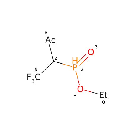 CCO[PH](=O)C(C(C)=O)C(F)(F)F